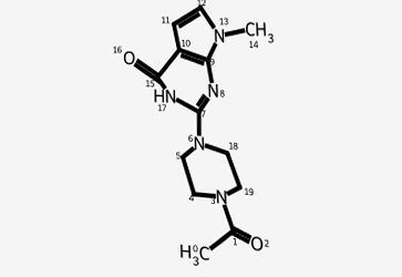 CC(=O)N1CCN(c2nc3c(ccn3C)c(=O)[nH]2)CC1